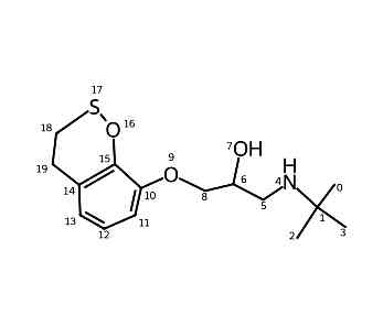 CC(C)(C)NCC(O)COc1cccc2c1OSCC2